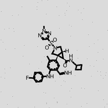 Cc1cc(Nc2ccc(F)cc2)c(C=N)cc1[C@@]12CN(S(=O)(=O)c3cnn(C)n3)C[C@@H]1[C@H]2C(=O)NC1CCC1